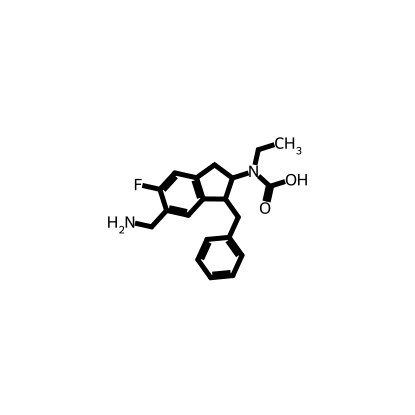 CCN(C(=O)O)C1Cc2cc(F)c(CN)cc2C1Cc1ccccc1